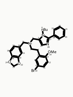 CCCCn1c(CN(CCc2cc(Br)ccc2OC)Cc2ccc3c(c2)OCO3)cnc1-c1ccccc1